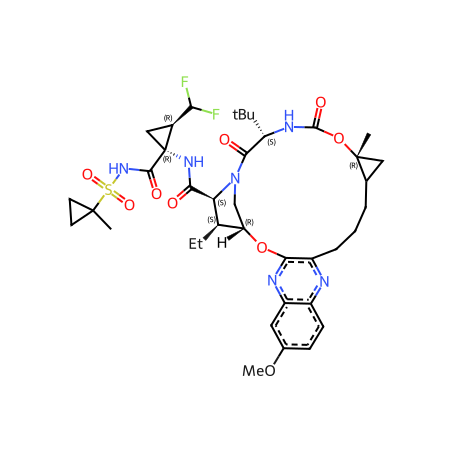 CC[C@@H]1[C@@H]2CN(C(=O)[C@H](C(C)(C)C)NC(=O)O[C@]3(C)CC3CCCc3nc4ccc(OC)cc4nc3O2)[C@@H]1C(=O)N[C@]1(C(=O)NS(=O)(=O)C2(C)CC2)C[C@H]1C(F)F